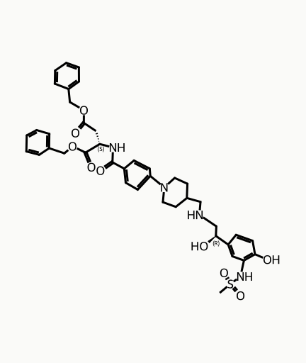 CS(=O)(=O)Nc1cc([C@@H](O)CNCC2CCN(c3ccc(C(=O)N[C@@H](CC(=O)OCc4ccccc4)C(=O)OCc4ccccc4)cc3)CC2)ccc1O